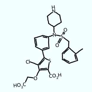 Cc1ccccc1CS(=O)(=O)N(c1cccc(-c2sc(C(=O)O)c(OCC(=O)O)c2Cl)c1)C1CCNCC1